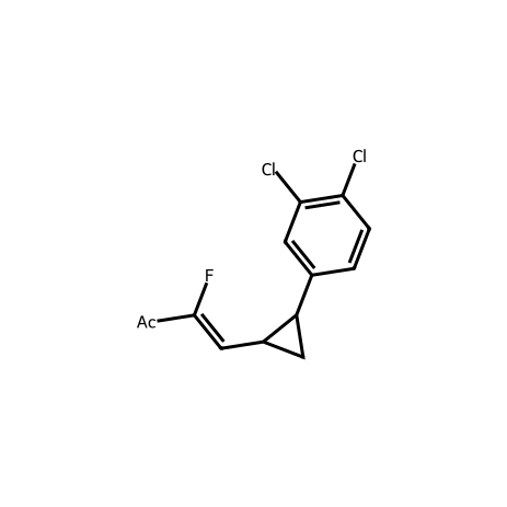 CC(=O)C(F)=CC1CC1c1ccc(Cl)c(Cl)c1